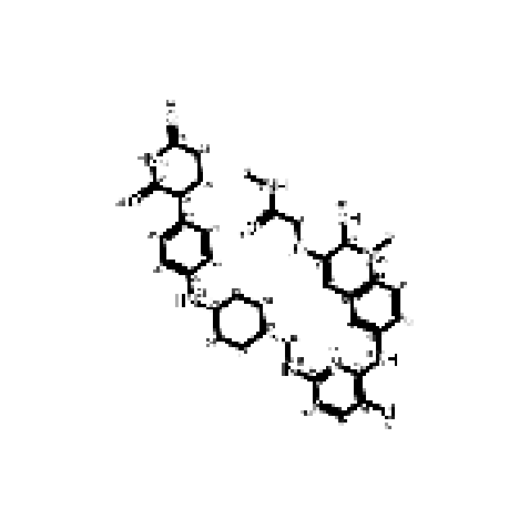 CNC(=O)COC1=Cc2cc(Nc3nc(NC[C@H]4CC[C@H](Nc5ccc([C@@H]6CCC(=O)NC6=O)cc5)CC4)ncc3Cl)ccc2N(C)C1O